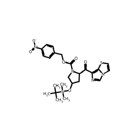 CC(C)(C)[Si](C)(C)OC1CC(C(=O)c2ncn3ccsc23)N(C(=O)OCc2ccc([N+](=O)[O-])cc2)C1